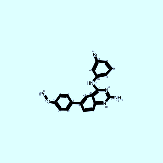 CC(C)Oc1ccc(-c2ccc3nc(N)nc(Nc4cccc(Br)c4)c3c2)cc1